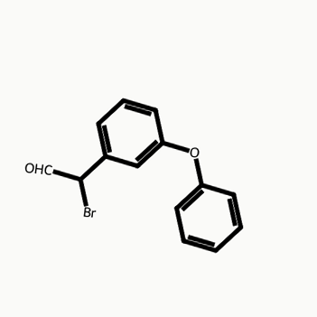 O=CC(Br)c1cccc(Oc2ccccc2)c1